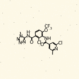 Cc1cc(C(=O)Nc2c(OC(F)(F)F)ccc(C(=O)Nc3nnnn3C)c2Cl)cc(Cl)n1